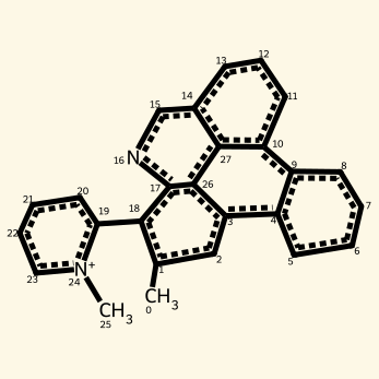 Cc1cc2c3ccccc3c3cccc4cnc(c1-c1cccc[n+]1C)c2c43